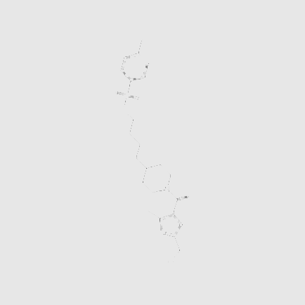 Cc1ccc(S(=O)(=O)OCCCCC2CCN(C(=O)c3cc(CO)oc3C)CC2)cc1